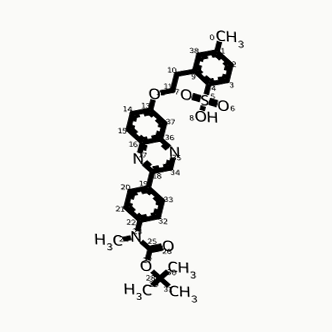 Cc1ccc(S(=O)(=O)O)c(CCOc2ccc3nc(-c4ccc(N(C)C(=O)OC(C)(C)C)cc4)cnc3c2)c1